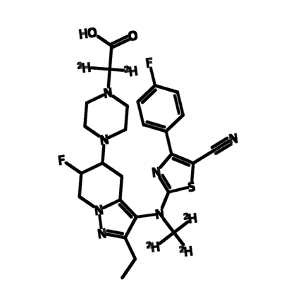 [2H]C([2H])([2H])N(c1nc(-c2ccc(F)cc2)c(C#N)s1)c1c(CC)nn2c1CC(N1CCN(C([2H])([2H])C(=O)O)CC1)C(F)C2